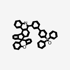 O=P(c1ccccc1)(c1ccccc1)c1ccc(-c2cccc(-c3nc4ccccc4c4c5c(ccc34)C3(c4ccccc4Oc4ccccc43)c3ccccc3-5)c2)cc1